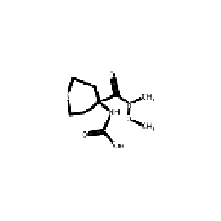 CON(C)C(=O)C1(NC(=O)O)CCSCC1